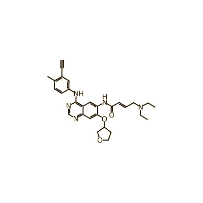 C#Cc1cc(Nc2ncnc3cc(OC4CCOC4)c(NC(=O)C=CCN(CC)CC)cc23)ccc1C